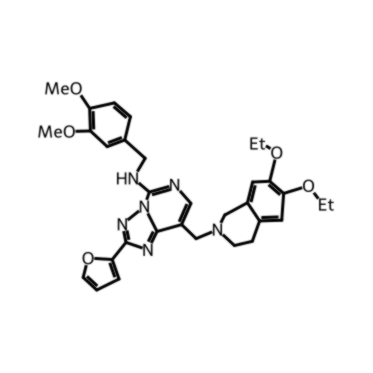 CCOc1cc2c(cc1OCC)CN(Cc1cnc(NCc3ccc(OC)c(OC)c3)n3nc(-c4ccco4)nc13)CC2